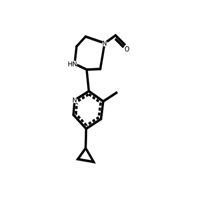 Cc1cc(C2CC2)cnc1C1CN(C=O)CCN1